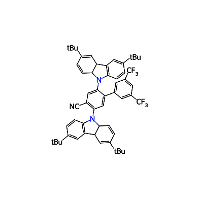 CC(C)(C)C1=CC2c3cc(C(C)(C)C)ccc3N(c3cc(-c4cc(C(F)(F)F)cc(C(F)(F)F)c4)c(N4c5ccc(C(C)(C)C)cc5C5C=C(C(C)(C)C)C=CC54)cc3C#N)C2C=C1